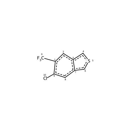 FC(F)(F)c1cc2cs[c]c2cc1Cl